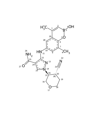 CC1=CB(O)Oc2c(C)cc(Nc3nn([C@@H]4COCC[C@H]4C#N)cc3C(N)=O)cc21